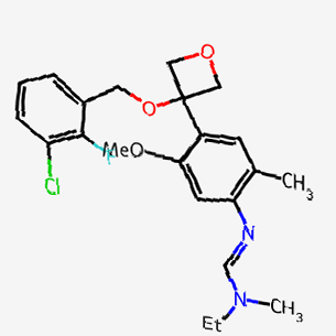 CCN(C)C=Nc1cc(OC)c(C2(OCc3cccc(Cl)c3F)COC2)cc1C